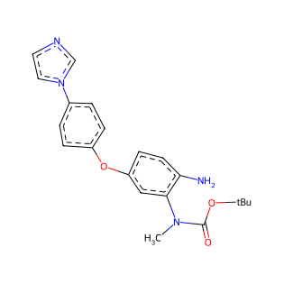 CN(C(=O)OC(C)(C)C)c1cc(Oc2ccc(-n3ccnc3)cc2)ccc1N